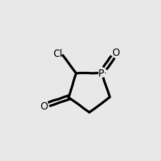 O=C1CC[P](=O)C1Cl